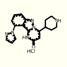 Cl.O=c1cc(C2CCNCC2)n2nc3cccc(-n4cccn4)c3c2[nH]1